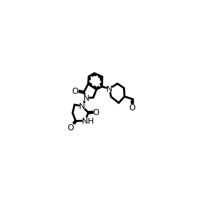 O=CC1CCN(c2cccc3c2CN(N2CCC(=O)NC2=O)C3=O)CC1